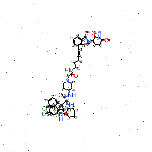 O=C(CN1CCC(NC(=O)[C@@H]2NC3(CCCCC3)[C@@]3(C(=O)Nc4cc(Cl)ccc43)[C@H]2c2cccc(Cl)c2F)CC1)NCCCC#Cc1cccc2c1CN(C1CCC(=O)NC1=O)C2=O